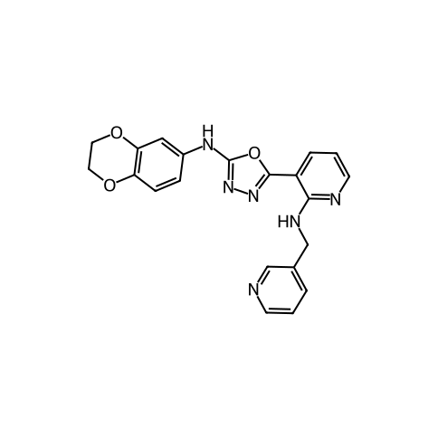 c1cncc(CNc2ncccc2-c2nnc(Nc3ccc4c(c3)OCCO4)o2)c1